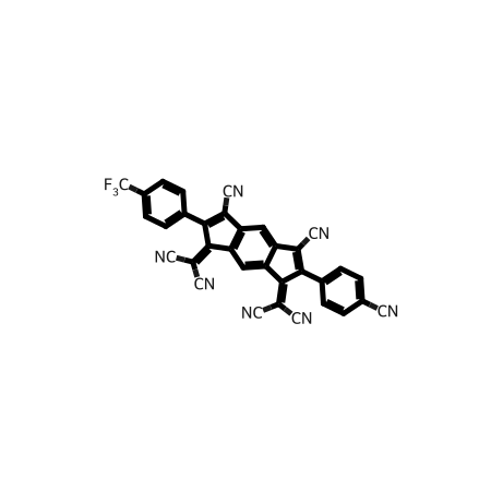 N#CC(C#N)=C1C(c2ccc(C#N)cc2)=C(C#N)c2cc3c(cc21)C(=C(C#N)C#N)C(c1ccc(C(F)(F)F)cc1)=C3C#N